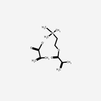 C=C(C)C(=O)OCC[N+](C)(C)C.C=C(C)C(=O)[O-]